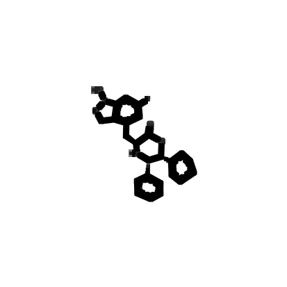 O=C1O[C@H](c2ccccc2)[C@H](c2ccccc2)N[C@H]1Cc1cc(F)cc2c1COB2O